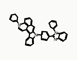 C1=CCCC(N2C=Cc3c4c2cccc4cc2c3c3ccccc3n2-c2ccc(-c3nc4ccccc4n3C3=CC=CCC3)cc2)=C1